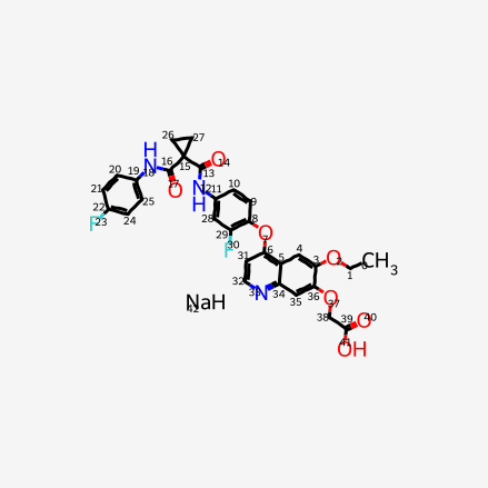 CCOc1cc2c(Oc3ccc(NC(=O)C4(C(=O)Nc5ccc(F)cc5)CC4)cc3F)ccnc2cc1OCC(=O)O.[NaH]